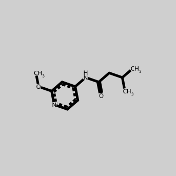 COc1cc(NC(=O)CC(C)C)ccn1